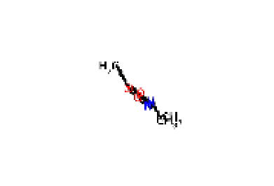 C=CCCCCCCCCOc1ccc(C(=O)Oc2ccc(-c3ncc(CCCC[C@@H](C)CC)cn3)cc2)cc1